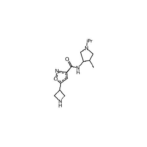 CC1CN(C(C)C)CC1NC(=O)c1cc(C2CNC2)on1